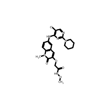 CONC(=O)COc1cc2cc(Nc3nc(N4CCCCC4)ncc3Cl)ccc2n(C)c1=O